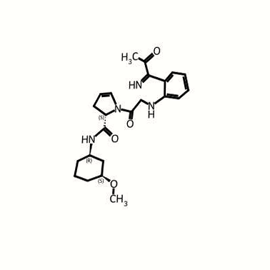 CO[C@H]1CCC[C@@H](NC(=O)[C@@H]2CC=CN2C(=O)CNc2ccccc2C(=N)C(C)=O)C1